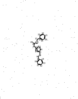 C[C@H](Cn1ncc(SCc2ccccc2)n1)OCc1ccccc1